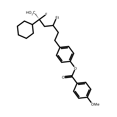 CCC(CCc1ccc(OC(=O)c2ccc(OC)cc2)cc1)C[C@@](F)(C(=O)O)C1CCCCC1